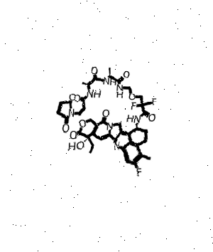 CC[C@@]1(O)C(=O)OCc2c1cc1n(c2=O)Cc2c-1nc1cc(F)c(C)c3c1c2[C@@H](NC(=O)C(F)(F)COCNC(=O)[C@H](C)NC(=O)[C@H](C)NC(=O)CCN1C(=O)C=CC1=O)CC3